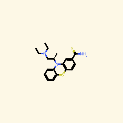 CCN(CC)C[C@@H](C)N1c2ccccc2Sc2ccc(C(N)=S)cc21